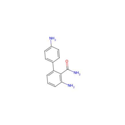 NC(=O)c1c(N)cccc1-c1ccc(N)cc1